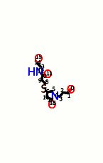 O=CCCN1C[C@@H](SCCC(=O)NCC=O)CC1=O